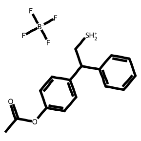 CC(=O)Oc1ccc(C(C[SH2+])c2ccccc2)cc1.F[B-](F)(F)F